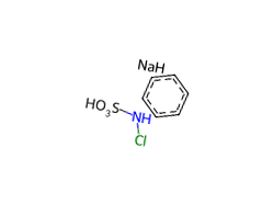 O=S(=O)(O)NCl.[NaH].c1ccccc1